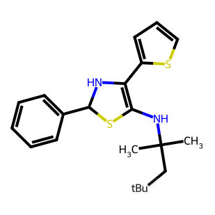 CC(C)(C)CC(C)(C)NC1=C(c2cccs2)NC(c2ccccc2)S1